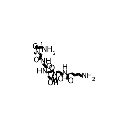 C[C@H](N)C(=O)N(C)CC(=O)NCC(=O)N[C@@H](CC(=O)O)C(=O)NCC(=O)N[C@H]([C]=O)CCCCN